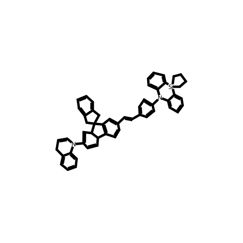 C1=CN(C2=CC3C(C=C2)c2ccc(/C=C/c4ccc(N5c6ccccc6[Si]6(CCCC6)c6ccccc65)cc4)cc2C32Cc3ccccc3C2)c2ccccc2C1